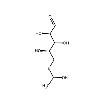 CC(O)SC[C@@H](O)[C@@H](O)[C@@H](O)C=O